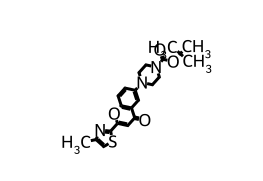 Cc1csc(-c2cc(=O)c3cc(N4CCN(C(=O)OC(C)(C)C)CC4)ccc3o2)n1